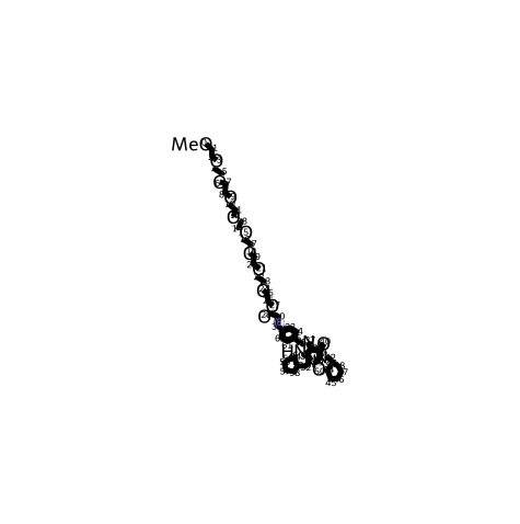 COCCOCCOCCOCCOCCOCCOCCOCCOCCOC(=O)/C=C/c1ccc(-c2nc3c(=O)n(CC4CCCCC4)c(=O)n(CC4CCCCC4)c3[nH]2)cc1